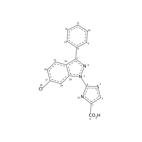 O=C(O)c1csc(-n2nc(-c3ccccc3)c3ccc(Cl)cc32)n1